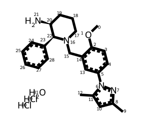 COc1ccc(-n2nc(C)cc2C)cc1CN1CCC[C@H](N)[C@@H]1c1ccccc1.Cl.Cl.O